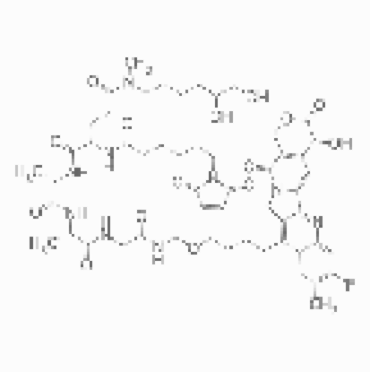 Cc1cc2c(CCCCOCNC(=O)CNC(=O)[C@H](C)NC(=O)[C@H](C)NC(=O)[C@H](CCC(=O)N(C)CCCC[C@H](O)CO)NC(=O)CCCCCN3C(=O)C=CC3=O)c3c(nc2cc1F)-c1cc2c(c(=O)n1C3)COC(=O)[C@H]2O